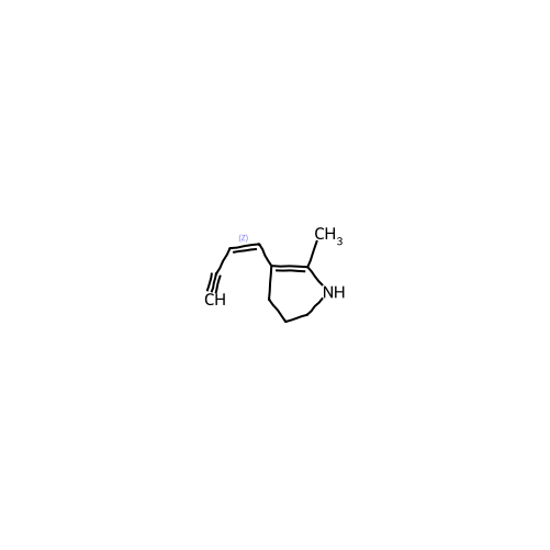 C#C/C=C\C1=C(C)NCCC1